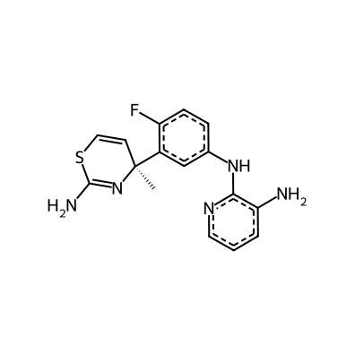 C[C@@]1(c2cc(Nc3ncccc3N)ccc2F)C=CSC(N)=N1